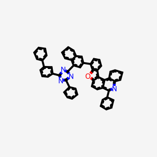 c1ccc(-c2cccc(-c3nc(-c4ccccc4)nc(-c4cc(-c5cccc6c5oc5ccc7c(-c8ccccc8)nc8ccccc8c7c56)cc5ccccc45)n3)c2)cc1